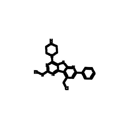 CCSc1nc(N2CCNCC2)c2sc3nc(-c4ccccc4)cc(CCl)c3c2n1